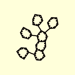 [c]1c(-c2ccccc2)c(-c2ccccc2)c(-c2ccccc2)c2cc3c(-c4ccccc4)cccc3cc12